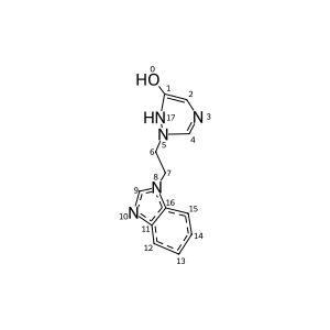 OC1=CN=CN(CCn2cnc3ccccc32)N1